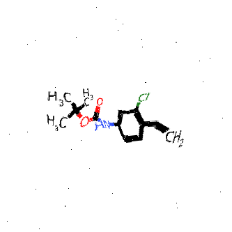 C=Cc1ccc(NC(=O)OC(C)(C)C)cc1Cl